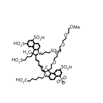 COCCOCCOCCOCCOCCC1(C)\C(=C/C=C/C=C/C2=[N+](CCCS(=O)(=O)O)c3ccc4c(S(=O)(=O)O)cc(S(=O)(=O)O)cc4c3C2(C)CCCS(=O)(=O)O)N(CCCCCC(=O)O)c2ccc3c(S(=O)(=O)[O-])cc(S(=O)(=O)O)cc3c21